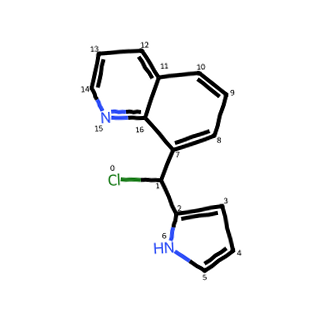 ClC(c1ccc[nH]1)c1cccc2cccnc12